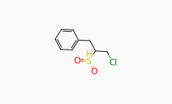 O=[SH](=O)C(CCl)Cc1ccccc1